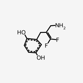 NCC(Cc1cc(O)ccc1O)=C(F)F